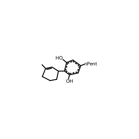 CCCCCc1cc(O)c(C2C=C(C)CCC2)c(O)c1